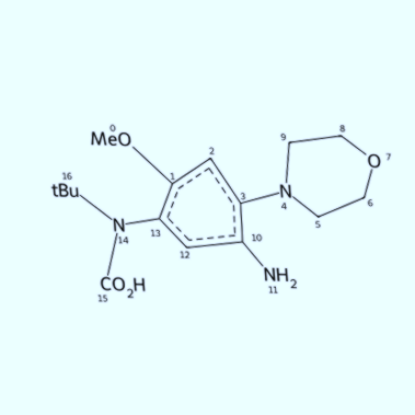 COc1cc(N2CCOCC2)c(N)cc1N(C(=O)O)C(C)(C)C